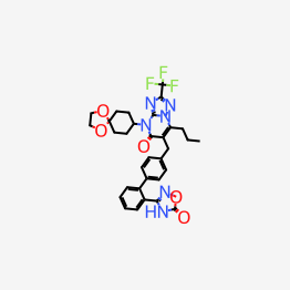 CCCc1c(Cc2ccc(-c3ccccc3-c3noc(=O)[nH]3)cc2)c(=O)n(C2CCC3(CC2)OCCO3)c2nc(C(F)(F)F)nn12